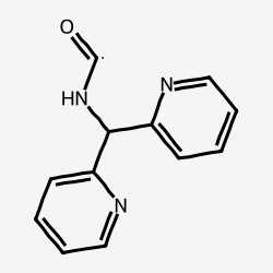 O=[C]NC(c1ccccn1)c1ccccn1